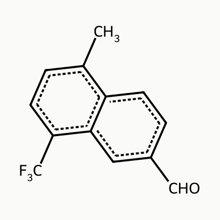 Cc1ccc(C(F)(F)F)c2cc(C=O)ccc12